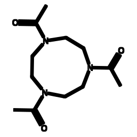 CC(=O)N1CCN(C(C)=O)CCN(C(C)=O)CC1